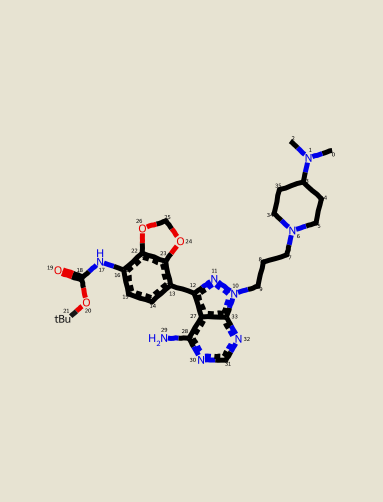 CN(C)C1CCN(CCCn2nc(-c3ccc(NC(=O)OC(C)(C)C)c4c3OCO4)c3c(N)ncnc32)CC1